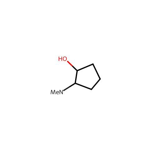 [CH2]NC1CCCC1O